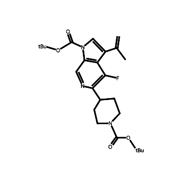 C=C(C)c1cn(C(=O)OC(C)(C)C)c2cnc(C3CCN(C(=O)OC(C)(C)C)CC3)c(F)c12